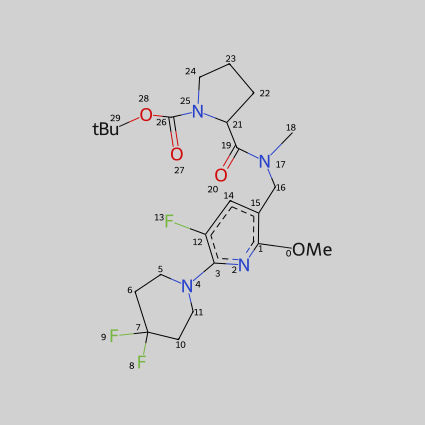 COc1nc(N2CCC(F)(F)CC2)c(F)cc1CN(C)C(=O)C1CCCN1C(=O)OC(C)(C)C